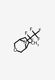 CC1CC2COCC1N2C(F)(F)C(F)(F)F